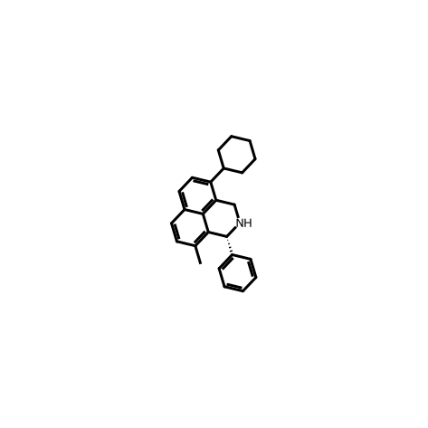 Cc1ccc2ccc(C3CCCCC3)c3c2c1[C@@H](c1ccccc1)NC3